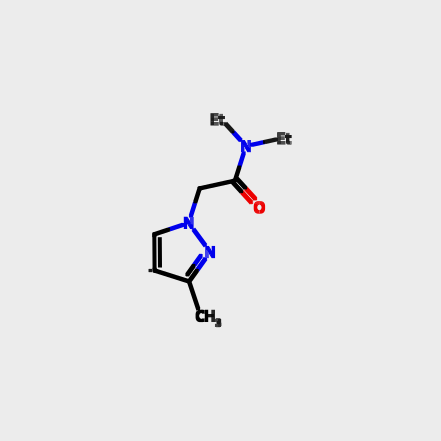 CCN(CC)C(=O)Cn1c[c]c(C)n1